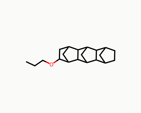 CCCOC1CC2CC1C1C3CC(C4C5CCC(C5)C34)C21